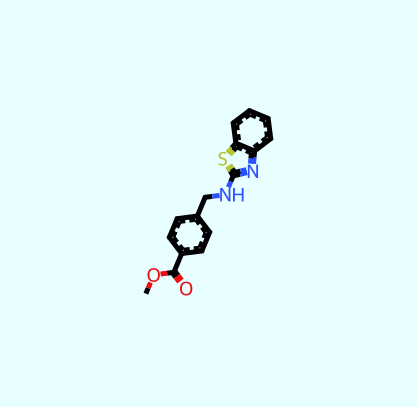 COC(=O)c1ccc(CNc2nc3ccccc3s2)cc1